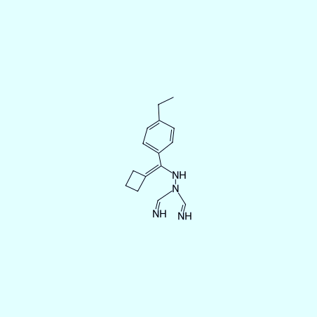 CCc1ccc(C(NN(C=N)C=N)=C2CCC2)cc1